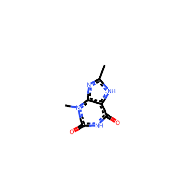 Cc1nc2c([nH]1)c(=O)[nH]c(=O)n2C